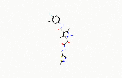 Cc1ncc(CNC(=O)C(=O)c2c(C)c(C(=O)Nc3ccc(F)c(C)c3)c(C)n2C)s1